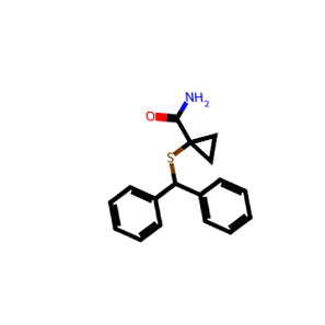 NC(=O)C1(SC(c2ccccc2)c2ccccc2)CC1